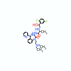 CCN(CC)CCN1C(=O)C(NC(=O)[C@H](C)NCC(O)c2cc(F)ccc2F)N=C(c2ccccn2)c2ccccc21